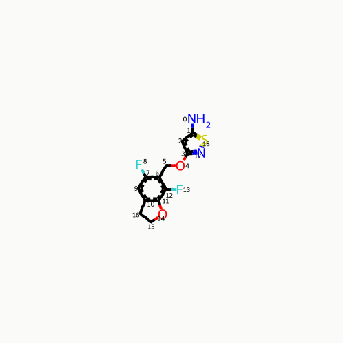 Nc1cc(OCc2c(F)cc3c(c2F)OCC3)ns1